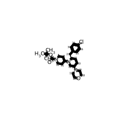 CC(C)(C)OC(=O)N1CCC(N2C[C@H](N3CCOCC3)CC[C@@H]2Cc2ccc(Cl)cc2)CC1